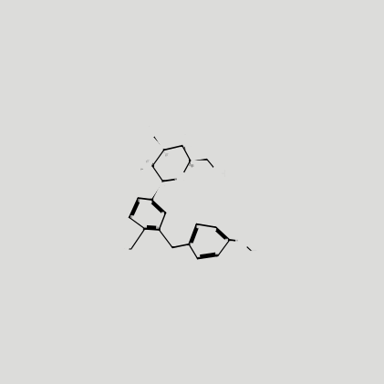 CCOc1ccc(Cc2cc([C@@H]3O[C@H](CO)[C@@H](I)[C@H](O)[C@H]3O)ccc2Cl)cc1